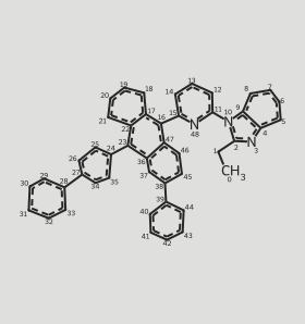 CCc1nc2ccccc2n1-c1cccc(-c2c3ccccc3c(-c3ccc(-c4ccccc4)cc3)c3cc(-c4ccccc4)ccc23)n1